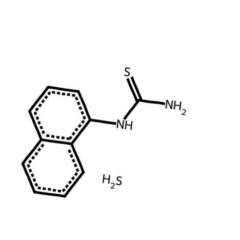 NC(=S)Nc1cccc2ccccc12.S